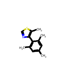 Cc1cc(C)c(-c2ncsc2C)c(C)c1